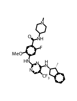 COc1cc(C(=O)NC2CCN(C)CC2)c(F)cc1Nc1ncc(C(F)(F)F)c(N[C@@H]2Cc3ccccc3[C@H]2C)n1